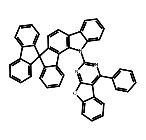 c1ccc(-c2nc(-n3c4ccccc4c4ccc5c(c43)-c3ccccc3C53c4ccccc4-c4ccccc43)nc3oc4ccccc4c23)cc1